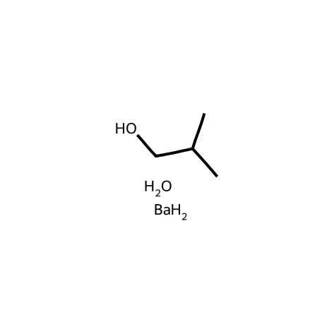 CC(C)CO.O.[BaH2]